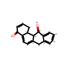 O=C1C=CCC2C1=CC=C1Cc3ccccc3C(=O)C12